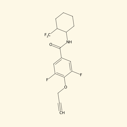 C#CCOc1c(F)cc(C(=O)NC2CCCCC2C(F)(F)F)cc1F